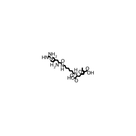 Cc1oc(CC(NC(=O)CCCCCNC(=O)C(N)CC2=CCN(C(=N)N)C2)C(=O)O)cc1C(=O)O